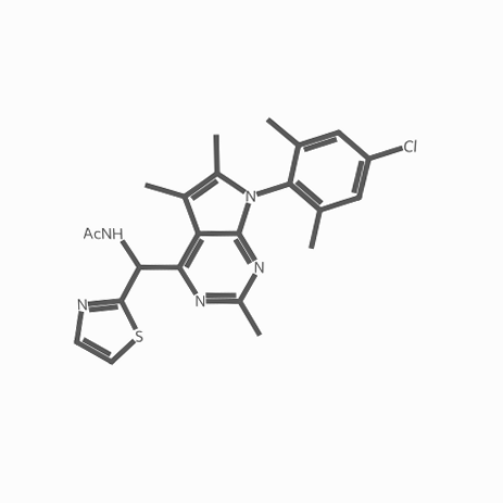 CC(=O)NC(c1nccs1)c1nc(C)nc2c1c(C)c(C)n2-c1c(C)cc(Cl)cc1C